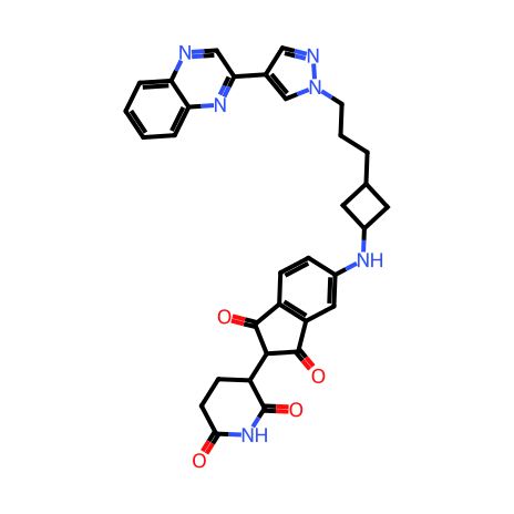 O=C1CCC(C2C(=O)c3ccc(NC4CC(CCCn5cc(-c6cnc7ccccc7n6)cn5)C4)cc3C2=O)C(=O)N1